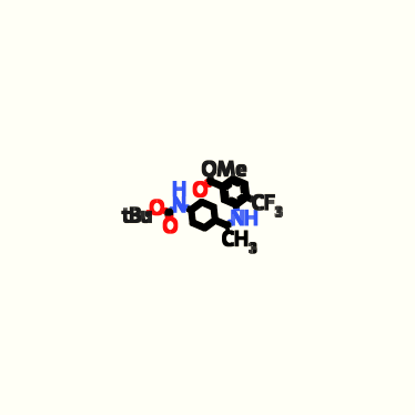 COC(=O)c1ccc(C(F)(F)F)c(N[C@H](C)C2CCC(NC(=O)OC(C)(C)C)CC2)c1